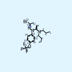 C=C(N(CCC)CCC)N(/N=C(\C)Br)c1ccc(OC(F)(F)F)cc1